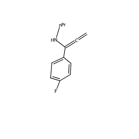 C=C=C(NCCC)c1ccc(F)cc1